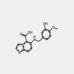 COc1ccc(CNc2ccc3nccn3c2C(=O)O)cc1O